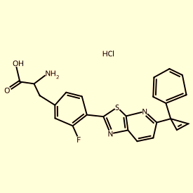 Cl.NC(Cc1ccc(-c2nc3ccc(C4(c5ccccc5)C=C4)nc3s2)c(F)c1)C(=O)O